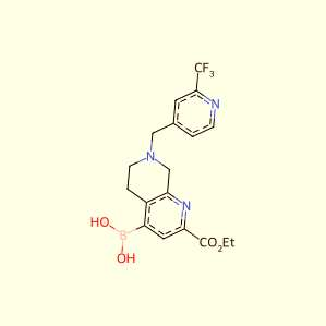 CCOC(=O)c1cc(B(O)O)c2c(n1)CN(Cc1ccnc(C(F)(F)F)c1)CC2